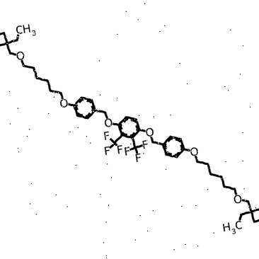 CCC1(COCCCCCCOc2ccc(COc3ccc(OCc4ccc(OCCCCCCOCC5(CC)COC5)cc4)c(C(F)(F)F)c3C(F)(F)F)cc2)COC1